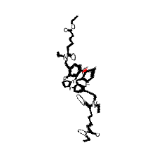 CCOC(=O)CCCCC(=O)N(CC)Cc1ccc(F)[c]([Ti]([C]2=CC=CC2)([C]2=CC=CC2)[c]2c(F)ccc(CN(CC)C(=O)CCCCC(=O)OCC)c2F)c1F